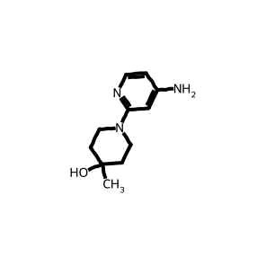 CC1(O)CCN(c2cc(N)ccn2)CC1